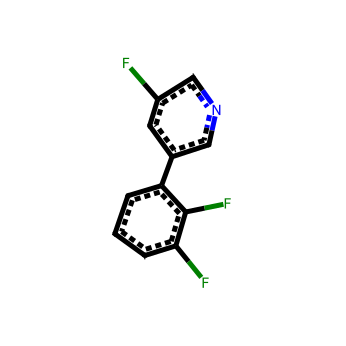 Fc1[c]ncc(-c2cc[c]c(F)c2F)c1